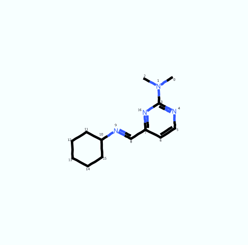 CN(C)c1nccc(C=NC2CCCCC2)n1